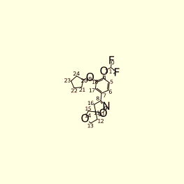 FC(F)Oc1ccc(C2=NOC3(CCOC3)C2)cc1OC1CCCC1